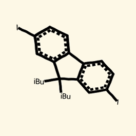 CCC(C)C1(C(C)CC)c2cc(I)ccc2-c2ccc(I)cc21